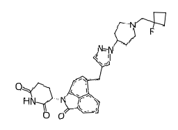 O=C1CC[C@H](N2C(=O)c3cccc4c(Cc5cnn(C6CCN(CC7(F)CCC7)CC6)c5)ccc2c34)C(=O)N1